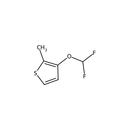 Cc1sccc1OC(F)F